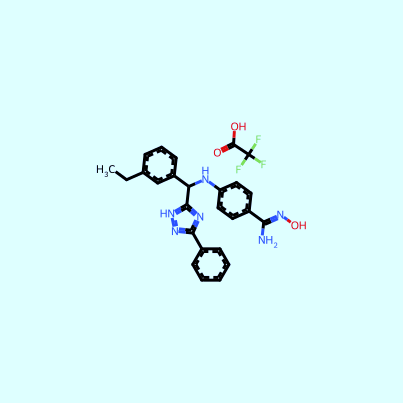 CCc1cccc(C(Nc2ccc(/C(N)=N/O)cc2)c2nc(-c3ccccc3)n[nH]2)c1.O=C(O)C(F)(F)F